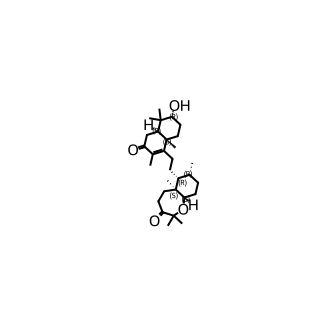 CC1=C(CC[C@@H]2[C@H](C)CC[C@@H]3OC(C)(C)C(=O)CC[C@]32C)[C@@]2(C)CC[C@@H](O)C(C)(C)[C@@H]2CC1=O